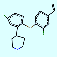 C=Cc1ccc(Sc2ccc(F)cc2C2CCNCC2)c(F)c1